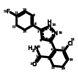 NC(=O)C1=C(c2cc(C3=CC=C(F)CC3)[nH]n2)C(Cl)=CCC1